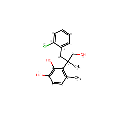 Cc1ccc(O)c(O)c1C(C)(CO)Cc1ccccc1Cl